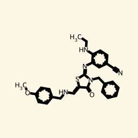 CCNc1ccc(C#N)cc1/N=C1/S/C(=C\NCc2ccc(OC)cc2)C(=O)N1Cc1ccccc1